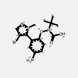 Cn1ncc(Br)c1-c1cc(N)ccc1ON(C(=O)O)C(C)(C)C